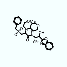 CCC[C@H](NC(=O)C(CS(=O)(=O)Cc1ccccc1)N(CCOC)C1CCOCC1)C(O)c1nc2ccccc2o1